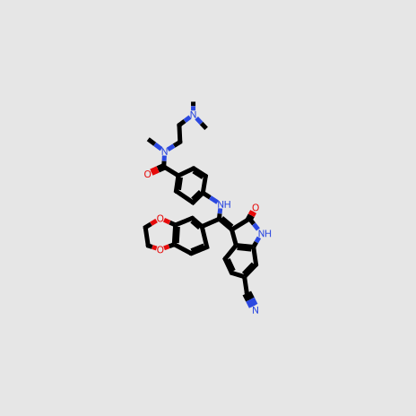 CN(C)CCN(C)C(=O)c1ccc(N/C(=C2\C(=O)Nc3cc(C#N)ccc32)c2ccc3c(c2)OCCO3)cc1